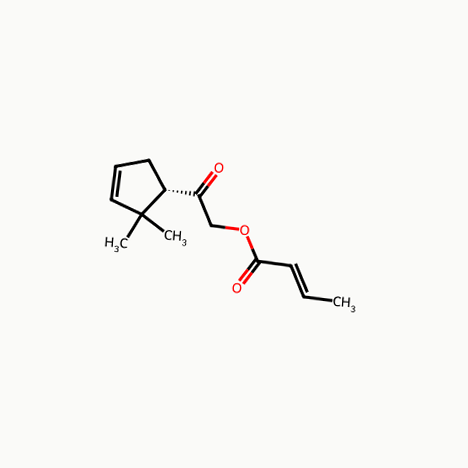 C/C=C/C(=O)OCC(=O)[C@H]1CC=CC1(C)C